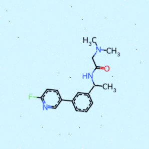 CC(NC(=O)CN(C)C)c1cccc(-c2ccc(F)nc2)c1